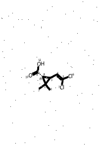 CC1(C)C(C=C(Cl)Cl)[C@H]1C(=O)O